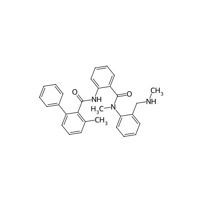 CNCc1ccccc1N(C)C(=O)c1ccccc1NC(=O)c1c(C)cccc1-c1ccccc1